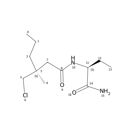 CCC[C@](C)(CCl)CC(=O)N[C@@H](CC)C(N)=O